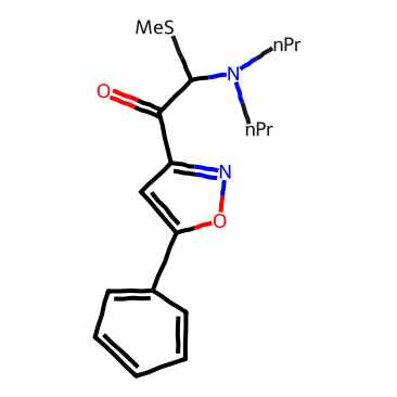 CCCN(CCC)C(SC)C(=O)c1cc(-c2ccccc2)on1